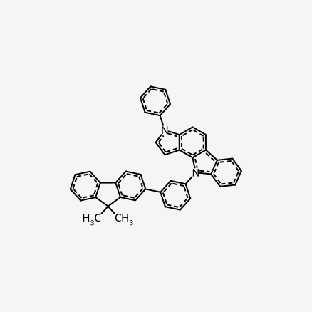 CC1(C)c2ccccc2-c2ccc(-c3cccc(-n4c5ccccc5c5ccc6c(ccn6-c6ccccc6)c54)c3)cc21